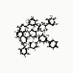 C1=CCC(c2cc(-c3ccccc3)cc(C3N=C(c4ccccc4)N=C(c4cccc(-c5ccc6ccc7nc(-c8ccccc8)cc(C8C=CC=CC8)c7c6c5)c4)N3)c2)C=C1